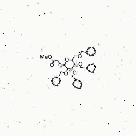 COC(=O)CO[C@@H]1OC(COCc2ccccc2)[C@H](OCc2ccccc2)[C@H](OCc2ccccc2)C1OCc1ccccc1